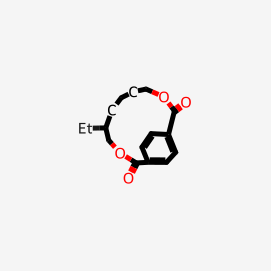 CCC1CCCCOC(=O)c2ccc(cc2)C(=O)OC1